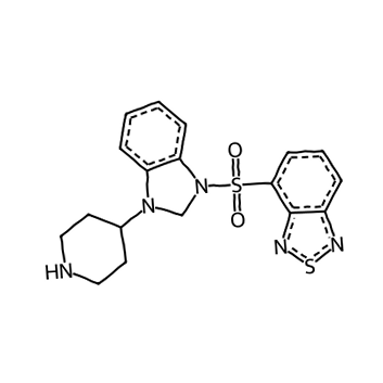 O=S(=O)(c1cccc2nsnc12)N1CN(C2CCNCC2)c2ccccc21